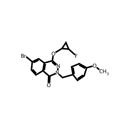 COc1ccc(Cn2nc(OC3CC3F)c3cc(Br)ccc3c2=O)cc1